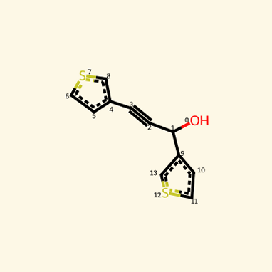 OC(C#Cc1ccsc1)c1ccsc1